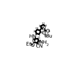 CCOc1nc(Nc2ccc(-c3cccn3C(=O)OC(C)(C)C)cc2)cc(N)c1C#N